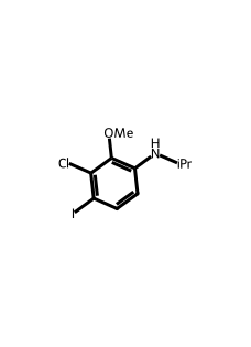 COc1c(NC(C)C)ccc(I)c1Cl